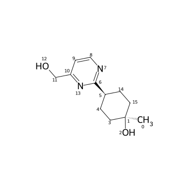 C[C@]1(O)CC[C@@H](c2nccc(CO)n2)CC1